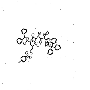 CON=C(C(=O)NC1C(=O)N2C(C(=O)OC(c3ccccc3)c3ccccc3)=CC(C=COS(=O)(=O)c3ccc(C)cc3)[S+]([O-])C12)c1csc(NC(c2ccccc2)(c2ccccc2)c2ccccc2)n1